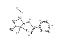 CC[C@H]1OC(O)C(F)(F)C1OC(=O)c1ccccc1